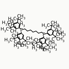 COc1c(C(C)(C)C)cc(P(CCCCCCCP(c2cc(C(C)(C)C)c(OC)c(C(C)(C)C)c2)c2cc(C(C)(C)C)c(OC)c(C(C)(C)C)c2)c2cc(C(C)(C)C)c(OC)c(C(C)(C)C)c2)cc1C(C)(C)C